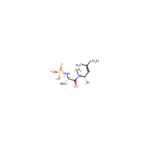 CCOC(=O)/C(C)=C/[C@H](C(C)C)N(C)C(=O)[C@@H](NS(=O)(=O)Br)C(C)(C)C